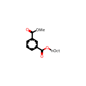 CCCCCCCCOC(=O)c1cccc(C(=O)OC)c1